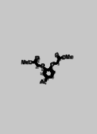 COC(=O)COc1ccc(C(C)=O)cc1OCC(=O)OC